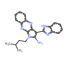 CC(C)CCn1c(N)c(-c2nc3ccccc3[nH]2)c2nc3ccccc3nc21